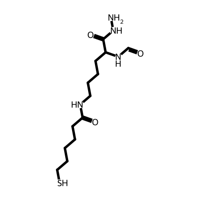 NNC(=O)C(CCCCNC(=O)CCCCCS)NC=O